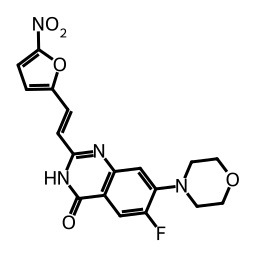 O=c1[nH]c(C=Cc2ccc([N+](=O)[O-])o2)nc2cc(N3CCOCC3)c(F)cc12